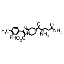 NC(=O)CC[C@H](N)C(=O)N1CCn2c(nc(-c3ccc(C(F)(F)F)c(F)c3)c2C(=O)O)C1